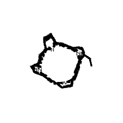 CCc1cc2cc3nc(cc4ccc(cc5nc(cc1[nH]2)C=C5)[nH]4)C=C3